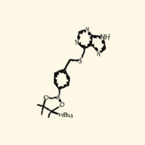 CCCCC1(C)OB(c2ccc(CSc3ncnc4[nH]cnc34)cc2)OC1(C)C